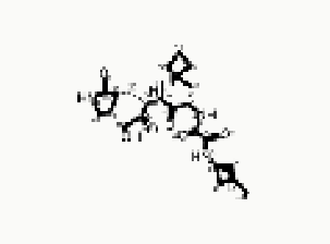 CC1(C[C@H](NC(=O)C(=O)NC23CC(F)(C2)C3)C(=O)N[C@@H](C[C@@H]2CCNC2=O)C(=O)CO)CCC1